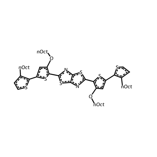 CCCCCCCCOc1cc(-c2sccc2CCCCCCCC)sc1-c1nc2sc(-c3sc(-c4sccc4CCCCCCCC)cc3OCCCCCCCC)nc2s1